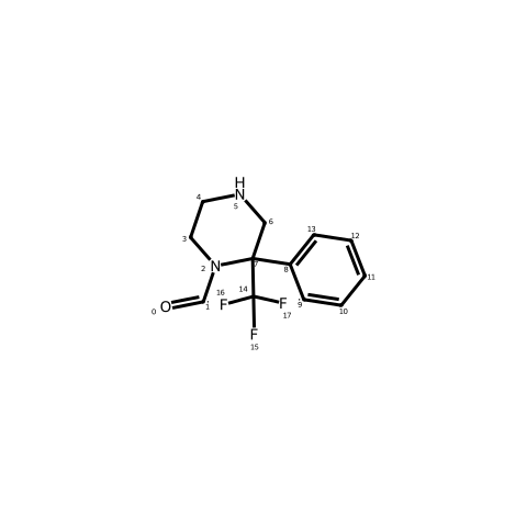 O=[C]N1CCNCC1(c1[c]cccc1)C(F)(F)F